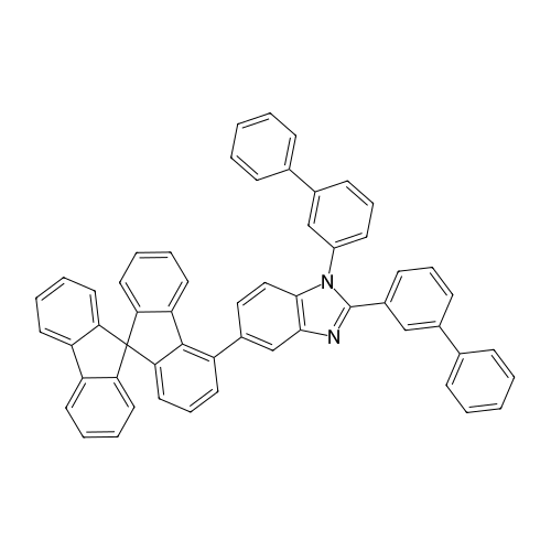 c1ccc(-c2cccc(-c3nc4cc(-c5cccc6c5-c5ccccc5C65c6ccccc6-c6ccccc65)ccc4n3-c3cccc(-c4ccccc4)c3)c2)cc1